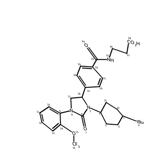 CC(C)(C)C1CCC(N2C(=O)N(c3ccccc3OC(F)(F)F)CC2c2ccc(C(=O)NCCC(=O)O)cc2)CC1